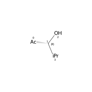 CC(=O)[C@H](O)C(C)C